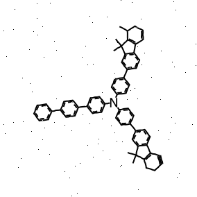 CC1CC=CC2=C1C(C)(C)c1cc(-c3ccc(N(c4ccc(-c5ccc(-c6ccccc6)cc5)cc4)c4ccc(-c5ccc6c(c5)C(C)(C)C5=C6C#CCC5)cc4)cc3)ccc12